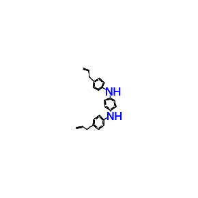 C=CCc1ccc(Nc2ccc(Nc3ccc(CC=C)cc3)cc2)cc1